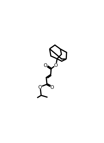 CC(C)OC(=O)C=CC(=O)OC12CC3CC(CC(C3)C1)C2